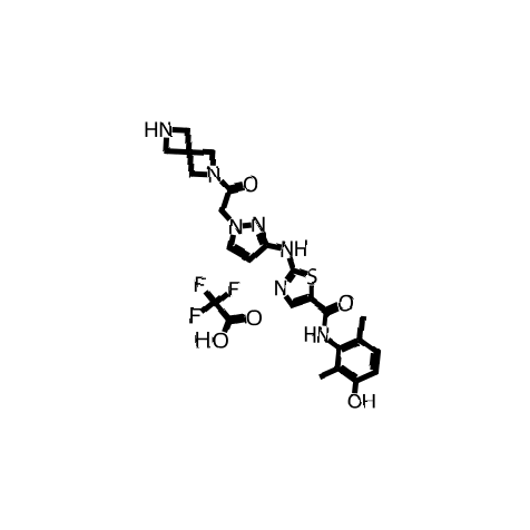 Cc1ccc(O)c(C)c1NC(=O)c1cnc(Nc2ccn(CC(=O)N3CC4(CNC4)C3)n2)s1.O=C(O)C(F)(F)F